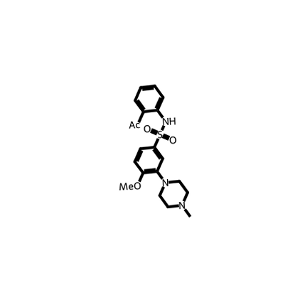 COc1ccc(S(=O)(=O)Nc2ccccc2C(C)=O)cc1N1CCN(C)CC1